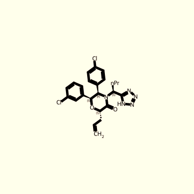 C=CC[C@@H]1O[C@@H](c2cccc(Cl)c2)[C@@H](c2ccc(Cl)cc2)N([C@@H](CCC)c2nnn[nH]2)C1=O